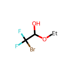 CCOC(O)C(F)(F)Br